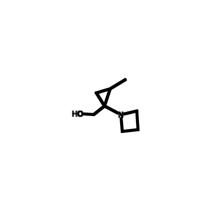 CC1CC1(CO)N1CCC1